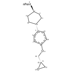 CCCCC[C@H]1CC[C@H](c2ccc(OC[C@@H]3CO3)cc2)CC1